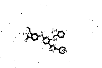 CCn1[nH]c(=O)c2ccc(Nc3ncc(-c4nc(C56CCN(CC5)CC6)no4)c(N[C@H](CO)c4ccccc4)n3)cc21